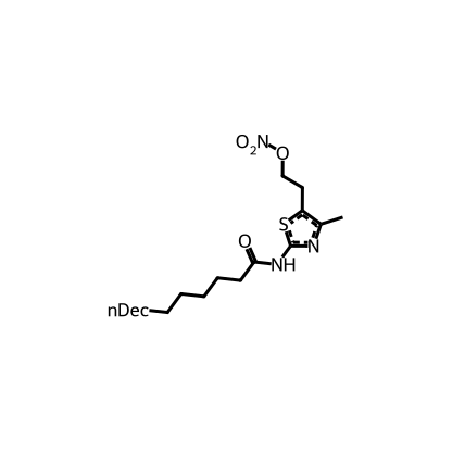 CCCCCCCCCCCCCCCC(=O)Nc1nc(C)c(CCO[N+](=O)[O-])s1